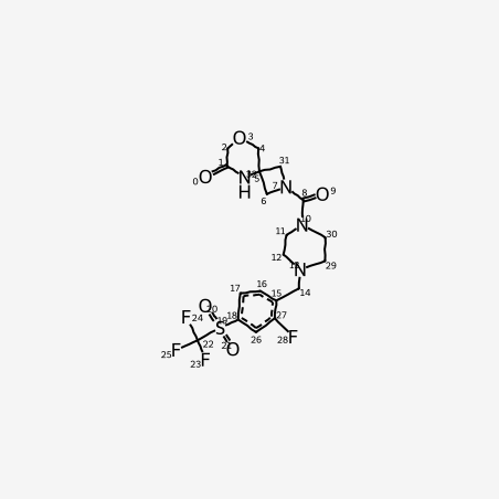 O=C1COCC2(CN(C(=O)N3CCN(Cc4ccc(S(=O)(=O)C(F)(F)F)cc4F)CC3)C2)N1